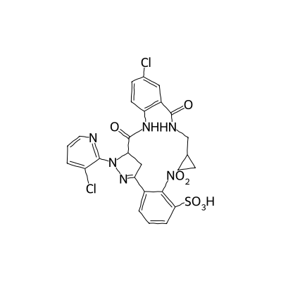 O=C(NCC1CC1)c1cc(Cl)ccc1NC(=O)C1CC(c2cccc(S(=O)(=O)O)c2[N+](=O)[O-])=NN1c1ncccc1Cl